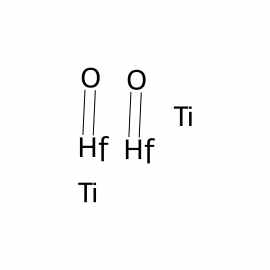 [O]=[Hf].[O]=[Hf].[Ti].[Ti]